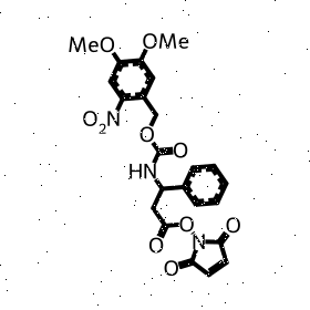 COc1cc(COC(=O)NC(CC(=O)ON2C(=O)C=CC2=O)c2ccccc2)c([N+](=O)[O-])cc1OC